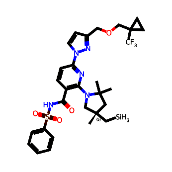 CC1(C)C[C@](C)(C[SiH3])CN1c1nc(-n2ccc(COCC3(C(F)(F)F)CC3)n2)ccc1C(=O)NS(=O)(=O)c1ccccc1